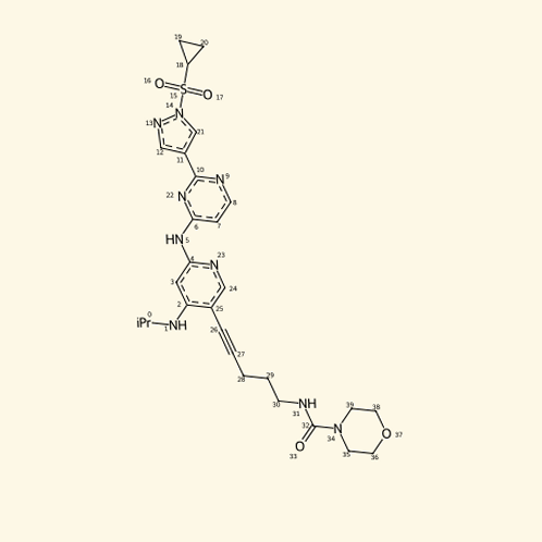 CC(C)Nc1cc(Nc2ccnc(-c3cnn(S(=O)(=O)C4CC4)c3)n2)ncc1C#CCCCNC(=O)N1CCOCC1